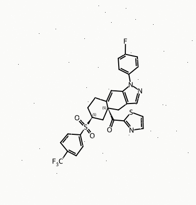 O=C(c1nccs1)[C@]12Cc3cnn(-c4ccc(F)cc4)c3C=C1CC[C@H](S(=O)(=O)c1ccc(C(F)(F)F)cc1)C2